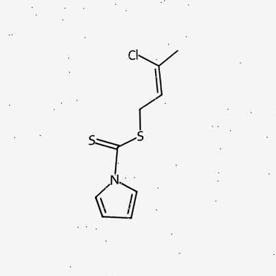 CC(Cl)=CCSC(=S)n1cccc1